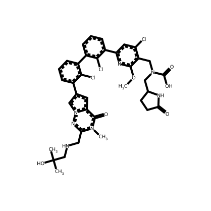 COc1nc(-c2cccc(-c3cccc(-c4cc5c(=O)n(C)c(CNCC(C)(C)O)nn5c4)c3Cl)c2Cl)cc(Cl)c1CN(CC1CCC(=O)N1)C(=O)O